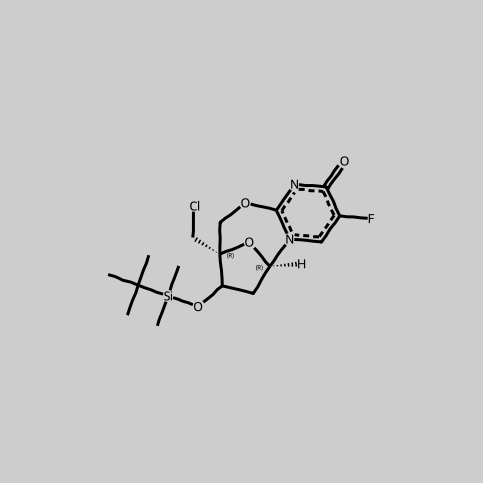 CC(C)(C)[Si](C)(C)OC1C[C@H]2O[C@]1(CCl)COc1nc(=O)c(F)cn12